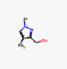 CC(C)n1cc([N+](=O)[O-])c(CO)n1